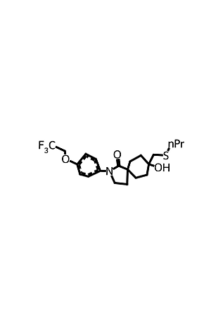 CCCSCC1(O)CCC2(CCN(c3ccc(OCC(F)(F)F)cc3)C2=O)CC1